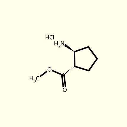 COC(=O)[C@H]1CCC[C@@H]1N.Cl